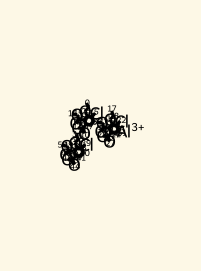 CCOc1c(Cl)ccc(C(=O)[O-])c1C(=O)OC.CCOc1c(Cl)ccc(C(=O)[O-])c1C(=O)OC.CCOc1c(Cl)ccc(C(=O)[O-])c1C(=O)OC.[Al+3]